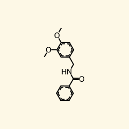 COc1ccc(CNC(=O)c2ccccc2)cc1OC